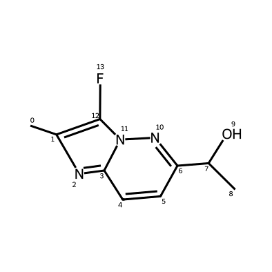 Cc1nc2ccc(C(C)O)nn2c1F